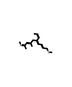 C\C=C/C(=C\C=C\CSC)C/C(C)=C/C(C)=N\C